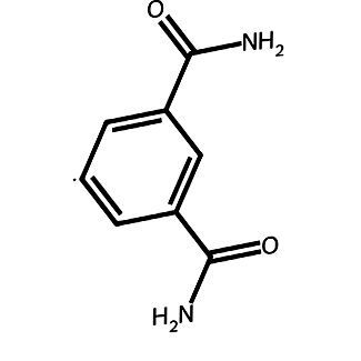 NC(=O)c1c[c]cc(C(N)=O)c1